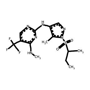 CCC(C)S(=O)(=O)n1ncc(Nc2ncc(C(F)(F)F)c(NC)n2)c1C